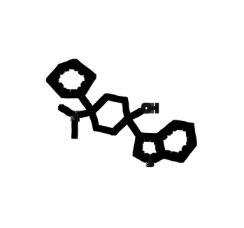 CN(C)C1(c2ccccc2)CCC(O)(c2csc3ccccc23)CC1